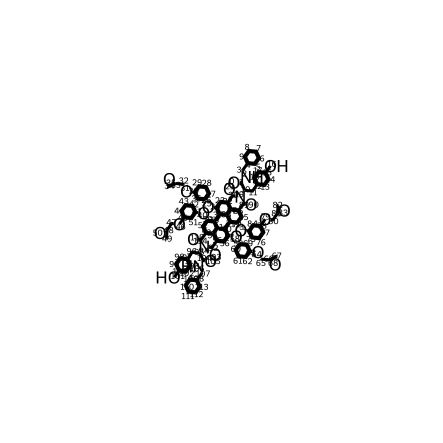 O=C(NCc1ccccc1)C(Cc1ccc(O)cc1)N1C(=O)c2cc(Oc3cccc(OCC4CO4)c3)c3c4c(Oc5cccc(OCC6CO6)c5)cc5c6c(cc(Oc7cccc(OCC8CO8)c7)c(c7c(Oc8cccc(OCC9CO9)c8)cc(c2c37)C1=O)c64)C(=O)N(C(Cc1ccc(O)cc1)C(=O)NCc1ccccc1)C5=O